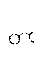 C=NC(=C)Nc1cnccn1